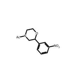 CC(=O)N1CCOC(c2cccc([N+](=O)[O-])c2)C1